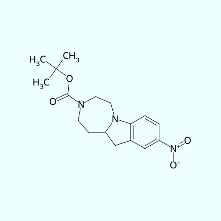 CC(C)(C)OC(=O)N1CCC2Cc3cc([N+](=O)[O-])ccc3N2CC1